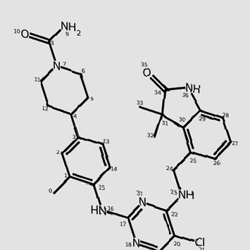 Cc1cc(C2CCN(C(N)=O)CC2)ccc1Nc1ncc(Cl)c(NCc2cccc3c2C(C)(C)C(=O)N3)n1